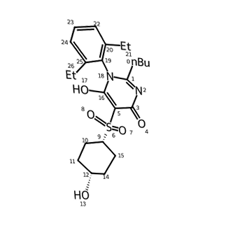 CCCCc1nc(=O)c(S(=O)(=O)[C@H]2CC[C@@H](O)CC2)c(O)n1-c1c(CC)cccc1CC